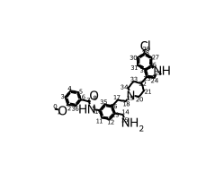 COc1cccc(C(=O)Nc2ccc(CN)c(CCN3CCC(c4c[nH]c5cc(Cl)ccc45)CC3)c2)c1